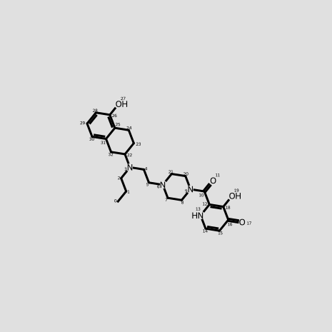 CCCN(CCN1CCN(C(=O)c2[nH]ccc(=O)c2O)CC1)C1CCc2c(O)cccc2C1